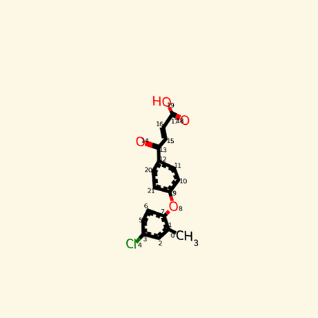 Cc1cc(Cl)ccc1Oc1ccc(C(=O)/C=C/C(=O)O)cc1